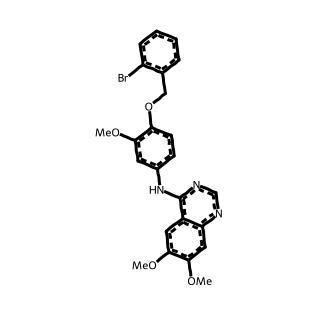 COc1cc2ncnc(Nc3ccc(OCc4ccccc4Br)c(OC)c3)c2cc1OC